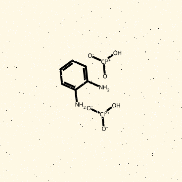 Nc1ccccc1N.[O-][Cl+2]([O-])O.[O-][Cl+2]([O-])O